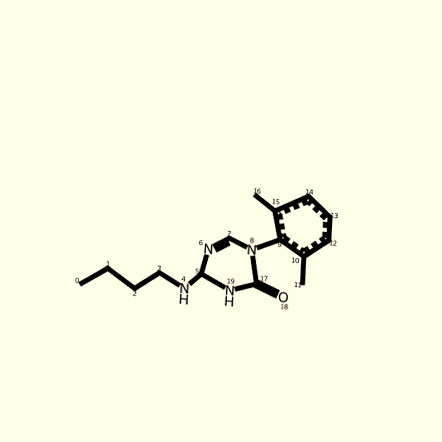 CCCCNC1N=CN(c2c(C)cccc2C)C(=O)N1